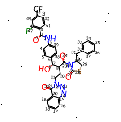 O=C(Nc1ccc(C(O)C(CCn2nnc3ccccc3c2=O)C(=O)N2C(=O)SC[C@@H]2Cc2ccccc2)cc1)c1ccc(C(F)(F)F)cc1F